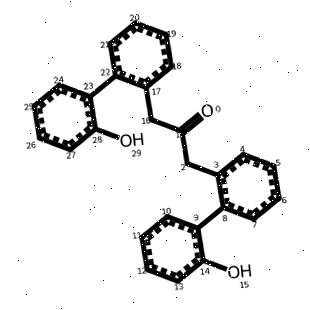 O=C(Cc1ccccc1-c1ccccc1O)Cc1ccccc1-c1ccccc1O